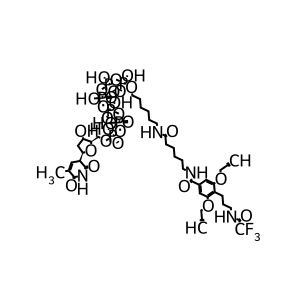 C#CCOc1cc(C(=O)NCCCCCC(=O)NCCCCCCOP(=O)(O)OP(=O)(O)OP(=O)(O)OP(=O)(O)OP(=O)(O)OP(=O)(O)OC[C@H]2O[C@@H](C3C=C(C)C(=O)NC3=O)CC2O)cc(OCC#C)c1CCCNC(=O)C(F)(F)F